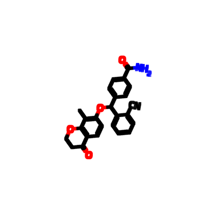 Cc1c(OC(c2ccc(C(N)=O)cc2)c2ccccc2C#N)ccc2c1OCCC2=O